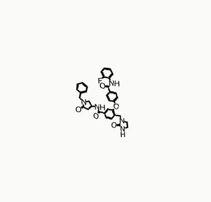 O=C(Nc1ccccc1F)c1ccc(Oc2cc(C(=O)NC3CC(=O)N(Cc4ccccc4)C3)ccc2CN2CCNC2=O)cc1